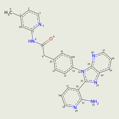 Cc1ccnc(NC(=O)Cc2ccc(-n3c(-c4cccnc4N)nc4cccnc43)cc2)c1